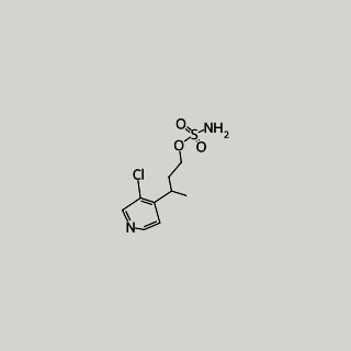 CC(CCOS(N)(=O)=O)c1ccncc1Cl